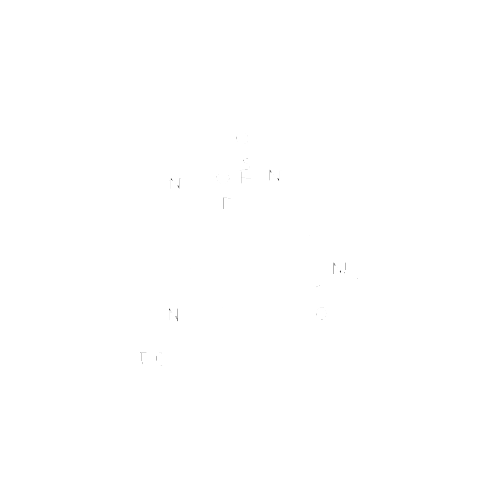 CN(C)c1ccc(-c2nc(C(F)(F)F)ccc2CCC(C(N)=O)c2ccc(N(C)[SH](=O)=O)c(F)c2)cc1